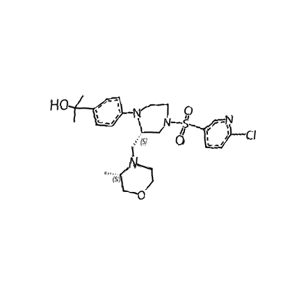 C[C@H]1COCCN1C[C@H]1CN(S(=O)(=O)c2ccc(Cl)nc2)CCN1c1ccc(C(C)(C)O)cc1